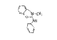 CN(Cc1ccccn1)C(=O)Nc1ccccc1